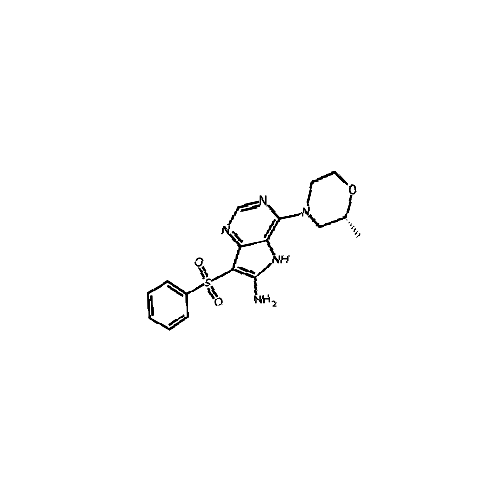 C[C@@H]1CN(c2ncnc3c(S(=O)(=O)c4ccccc4)c(N)[nH]c23)CCO1